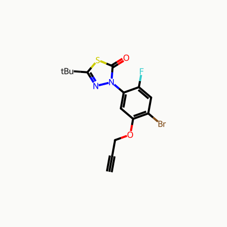 C#CCOc1cc(-n2nc(C(C)(C)C)sc2=O)c(F)cc1Br